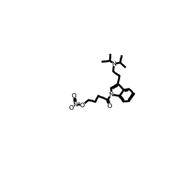 CC(C)N(CCc1cn(C(=O)CCCO[N+](=O)[O-])c2ccccc12)C(C)C